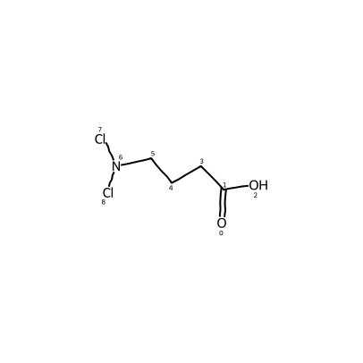 O=C(O)CCCN(Cl)Cl